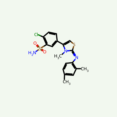 Cc1ccc(/N=c2/scc(-c3ccc(Cl)c(S(N)(=O)=O)c3)n2C)c(C)c1